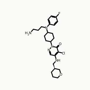 NCCCN(c1ccc(F)cc1)C1CCC(n2ncc(NC[C@@H]3CCCOC3)c(Cl)c2=O)CC1